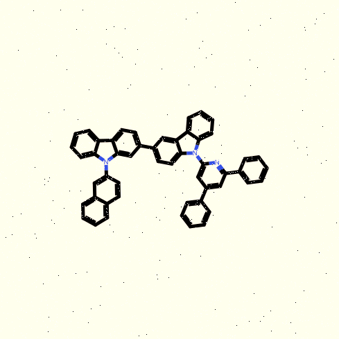 c1ccc(-c2cc(-c3ccccc3)nc(-n3c4ccccc4c4cc(-c5ccc6c7ccccc7n(-c7ccc8ccccc8c7)c6c5)ccc43)c2)cc1